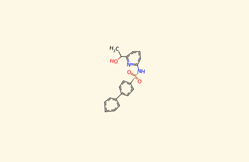 CC(O)c1cccc(NS(=O)(=O)c2ccc(-c3ccccc3)cc2)n1